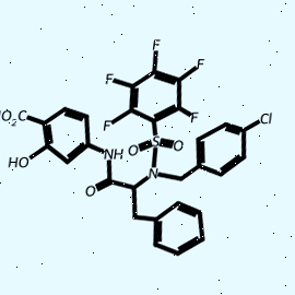 O=C(O)c1ccc(NC(=O)C(Cc2ccccc2)N(Cc2ccc(Cl)cc2)S(=O)(=O)c2c(F)c(F)c(F)c(F)c2F)cc1O